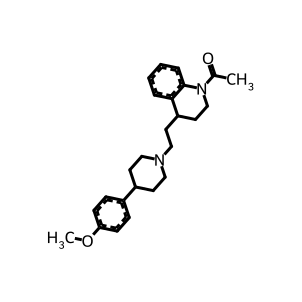 COc1ccc(C2CCN(CCC3CCN(C(C)=O)c4ccccc43)CC2)cc1